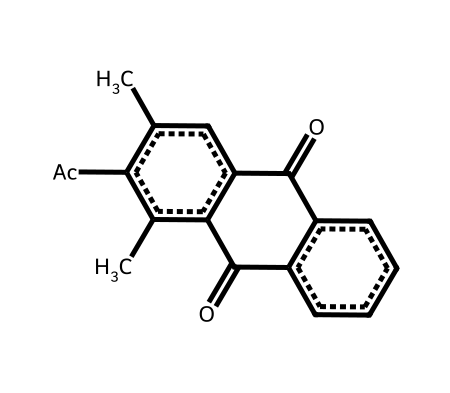 CC(=O)c1c(C)cc2c(c1C)C(=O)c1ccccc1C2=O